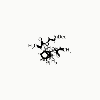 C=CC(=O)OCCCCCCCCCCCC.C=CC(=O)O[C@H]1C[C@@H]2CC[C@@]1(C)C2(C)C